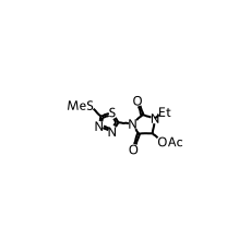 CCN1C(=O)N(c2nnc(SC)s2)C(=O)C1OC(C)=O